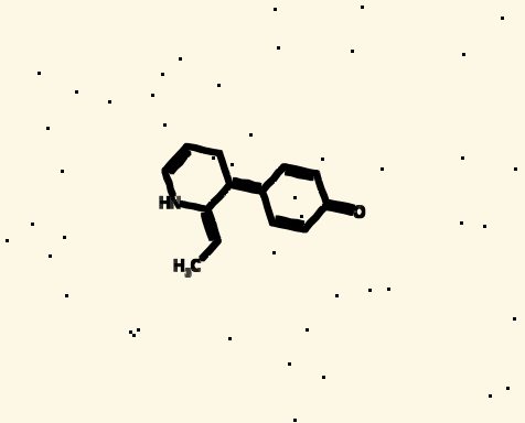 CC=C1NC=CCC1=C1C=CC(=O)C=C1